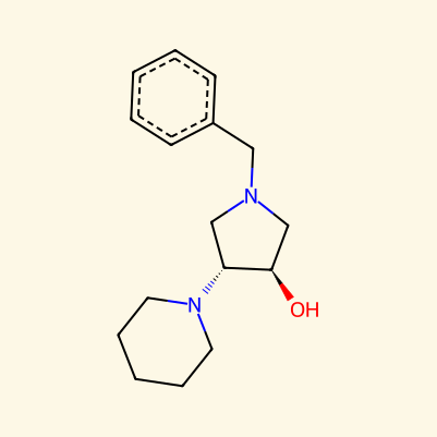 O[C@@H]1CN(Cc2ccccc2)C[C@H]1N1CCCCC1